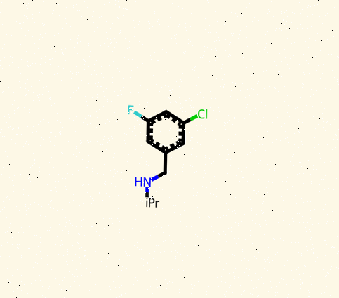 CC(C)NCc1cc(F)cc(Cl)c1